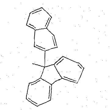 CC1(c2ccc3ccccc3c2)c2ccccc2-c2ccccc21